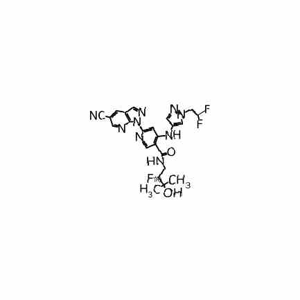 CC(C)(O)[C@H](F)CNC(=O)c1cnc(-n2ncc3cc(C#N)cnc32)cc1Nc1cnn(CC(F)F)c1